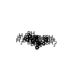 Bc1cc(-c2nc(-c3ccccc3)nc(-c3cccc(-c4c(B)c(B)c(B)c(B)c4B)c3)n2)c2oc3c(B)cc(-n4c5c(B)cc(B)c(B)c5c5c(B)c(B)cc(B)c54)c(B)c3c2c1B